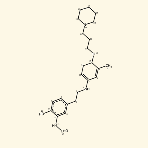 CC1=CC(NCCc2ccc(O)c(NC=O)c2)=CCC1OCCCN1CCCCC1